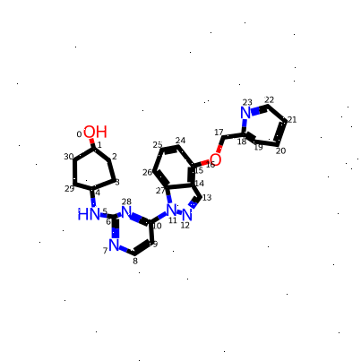 OC1CCC(Nc2nccc(-n3ncc4c(OCc5ccccn5)cccc43)n2)CC1